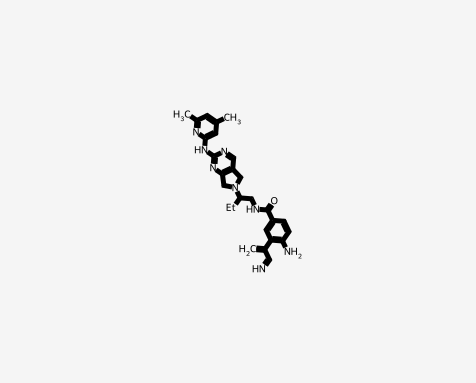 C=C(C=N)c1cc(C(=O)NCC(CC)N2Cc3cnc(Nc4cc(C)cc(C)n4)nc3C2)ccc1N